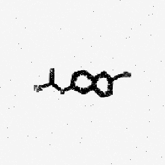 CCC(C)c1ccc2cc(OC(=O)C(F)(F)F)ccc2c1